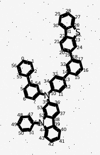 c1ccc(-c2cccc(N(c3ccc(-c4cccc(-c5ccc6c(c5)sc5ccccc56)c4)cc3)c3ccc4c5ccccc5n(-c5ccccc5)c4c3)c2)cc1